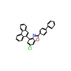 Clc1cc(-c2cc3ccccc3c3ccccc23)c2nc(-c3ccc(-c4ccccc4)cc3)oc2c1